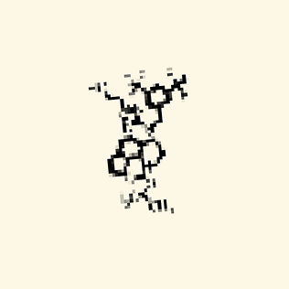 CC(C)OC(=O)N1CCC[C@H](N(Cc2cc(C(F)(F)F)cc(C(F)(F)F)c2)c2nnn(CCO)n2)c2ccc3c(c21)CCC3